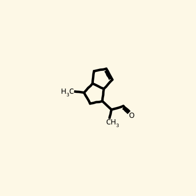 CC(C=O)C1CC(C)C2CC=CC12